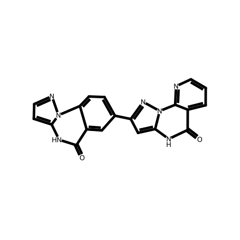 O=c1[nH]c2ccnn2c2ccc(-c3cc4[nH]c(=O)c5cccnc5n4n3)cc12